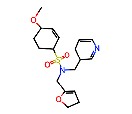 COC1C=CC(S(=O)(=O)N(CC2=CCCO2)CC2C=NC=CC2)CC1